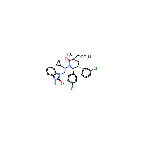 C[C@]1(CC(=O)O)C[C@H](c2cccc(Cl)c2)[C@@H](c2ccc(Cl)cc2)N(C(Cn2c(=O)[nH]c3ccccc32)C2CC2)C1=O